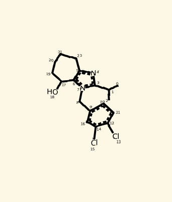 CC(C)c1nc2c(n1Cc1ccc(Cl)c(Cl)c1)C(O)CCCC2